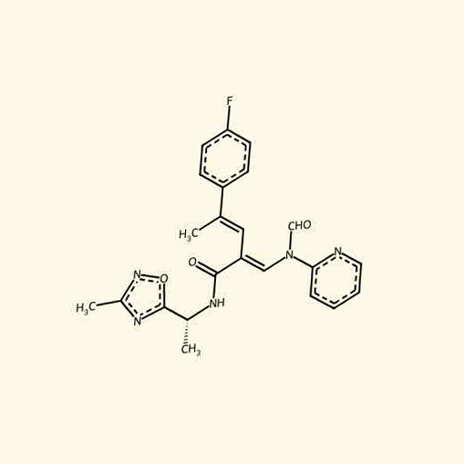 C/C(=C\C(=C/N(C=O)c1ccccn1)C(=O)N[C@H](C)c1nc(C)no1)c1ccc(F)cc1